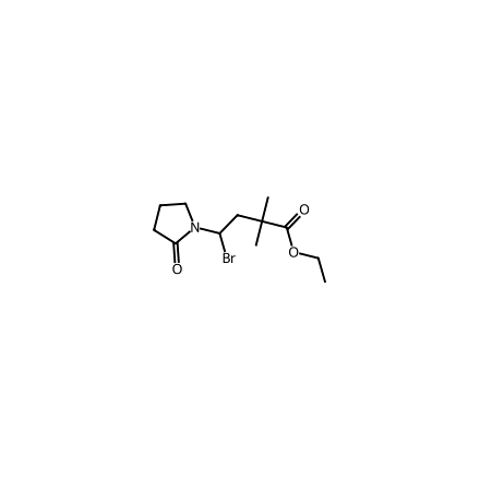 CCOC(=O)C(C)(C)CC(Br)N1CCCC1=O